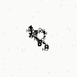 C=C[C@@H]1C[C@]1(NC(=O)[C@@H]1C[C@@H]2CN1C(=O)[C@H](C(C)(C)C)NC(=O)O[C@@H]1C[C@H]1CCCCCc1c(nc3ccccc3c1OCCN1CCC(C)(O)CC1)O2)C(=O)NS(=O)(=O)C1(C)CC1